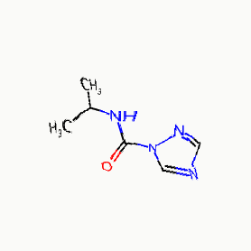 CC(C)NC(=O)n1cncn1